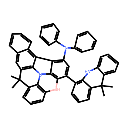 CC1(C)c2ccccc2Nc2c(-c3cc(N(c4ccccc4)c4ccccc4)c4c5c6ccccc6cc6c5n5c4c3Bc3cccc(c3-5)C6(C)C)cccc21